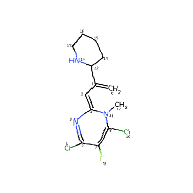 C=C(/C=C1/N=C(Cl)C(F)=C(Cl)N1C)C1CCCCN1